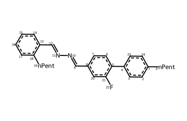 CCCCCc1ccc(-c2ccc(C=NN=Cc3ccccc3CCCCC)cc2F)cc1